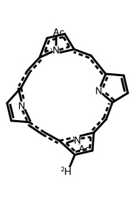 [2H]c1cc2cc3nc(cc4ccc(cc5nc(cc1n2C(C)=O)C=C5)n4C(C)=O)C=C3